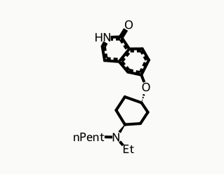 CCCCCN(CC)[C@H]1CC[C@H](Oc2ccc3c(=O)[nH]ccc3c2)CC1